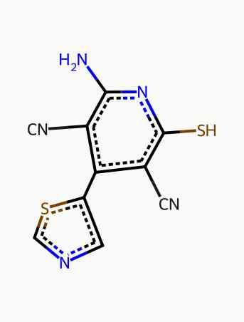 [C-]#[N+]c1c(N)nc(S)c(C#N)c1-c1cncs1